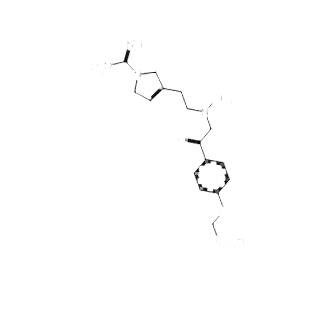 CN(CCC1=CCN(C(=N)N)C1)CC(=O)c1ccc(OCC(=O)O)cc1